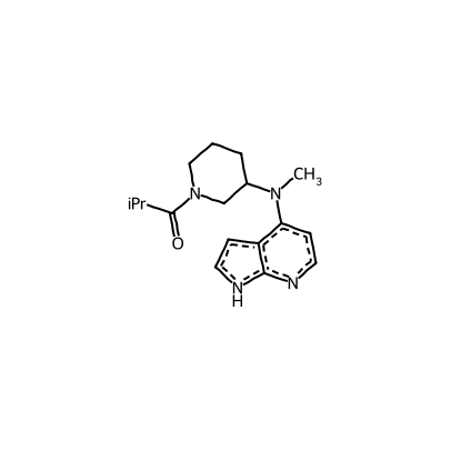 CC(C)C(=O)N1CCCC(N(C)c2ccnc3[nH]ccc23)C1